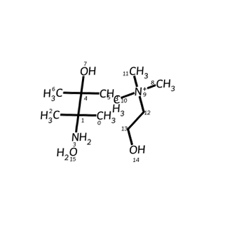 CC(C)(N)C(C)(C)O.C[N+](C)(C)CCO.O